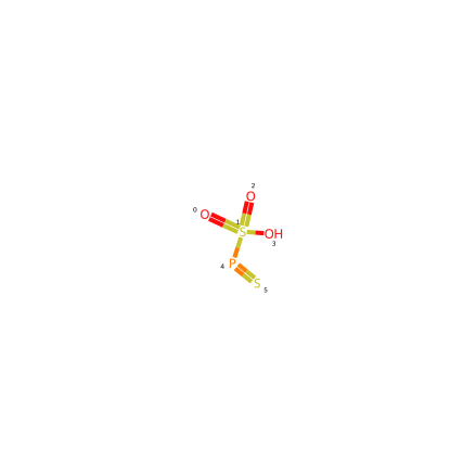 O=S(=O)(O)P=S